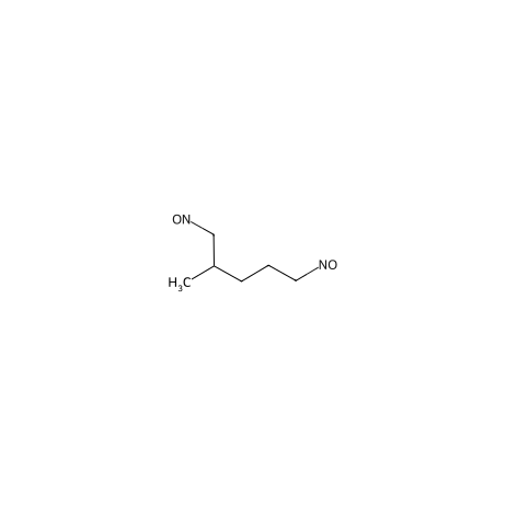 CC(CCCN=O)CN=O